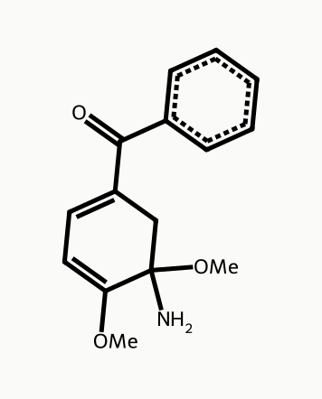 COC1=CC=C(C(=O)c2ccccc2)CC1(N)OC